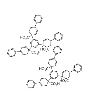 O=C(O)C1(c2cc(C3(C(=O)O)C=CC(c4ccccc4)=CC3)cc(C3(C(=O)O)C=CC(c4ccccc4)=CC3)c2)C=CC(c2ccccc2)=CC1.O=C(O)C1(c2cc(C3(C(=O)O)C=CC(c4ccccc4)=CC3)cc(C3(C(=O)O)C=CC(c4ccccc4)=CC3)c2)C=CC(c2ccccc2)=CC1